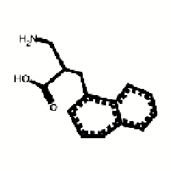 NCC(Cc1cccc2ccccc12)C(=O)O